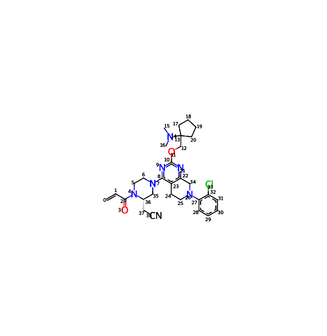 C=CC(=O)N1CCN(c2nc(OCC3(N(C)C)CCCC3)nc3c2CCN(c2ccccc2Cl)C3)C[C@@H]1CC#N